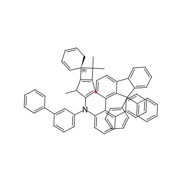 CC1C(N(c2cccc(-c3ccccc3)c2)c2cccc(-c3ccccc3)c2-c2cccc3c2C(c2ccccc2)(c2ccccc2)c2ccccc2-3)=CC2=C1[C@]1(C=CC=CC1)C2(C)C